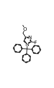 COCc1cn(C(c2ccccc2)(c2ccccc2)c2ccccc2)c(F)n1